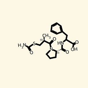 C[C@H](CSC(N)=O)C(=O)N1CCC[C@H]1C(=O)NC(Cc1ccccc1)C(=O)O